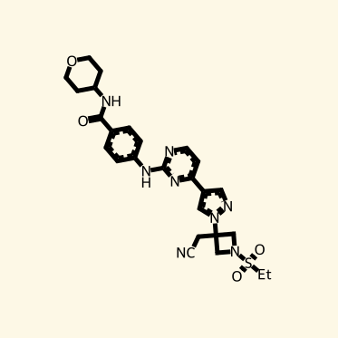 CCS(=O)(=O)N1CC(CC#N)(n2cc(-c3ccnc(Nc4ccc(C(=O)NC5CCOCC5)cc4)n3)cn2)C1